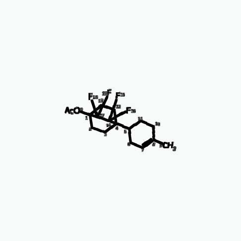 CC(=O)OC12CCC(C3CC=C(C)CC3)(CC1)C(F)(F)C2(F)F